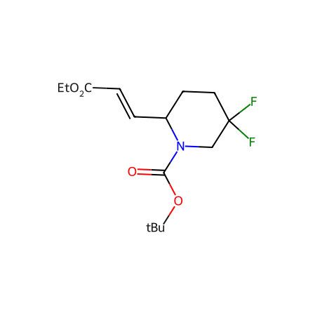 CCOC(=O)/C=C/C1CCC(F)(F)CN1C(=O)OC(C)(C)C